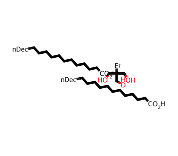 CCC(CO)(CO)CO.CCCCCCCCCCCCCCCCCCCCCC(=O)O.CCCCCCCCCCCCCCCCCCCCCC(=O)O